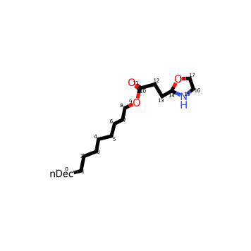 CCCCCCCCCCCCCCCCCCOC(=O)CCC1NCCO1